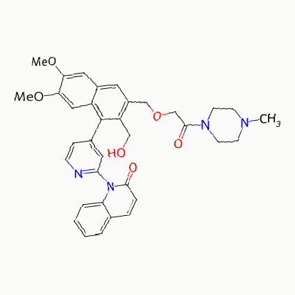 COc1cc2cc(COCC(=O)N3CCN(C)CC3)c(CO)c(-c3ccnc(-n4c(=O)ccc5ccccc54)c3)c2cc1OC